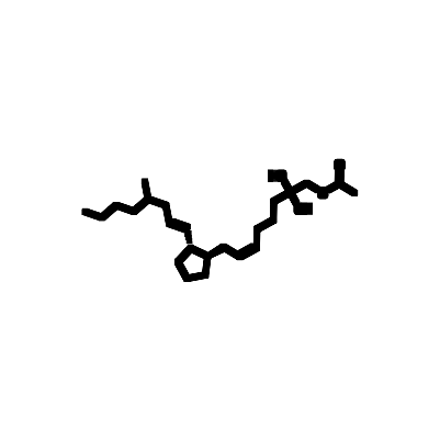 CCCCC(C)C/C=C/[C@H]1CCC[C@@H]1C/C=C\CCCC(O)(O)COC(C)=O